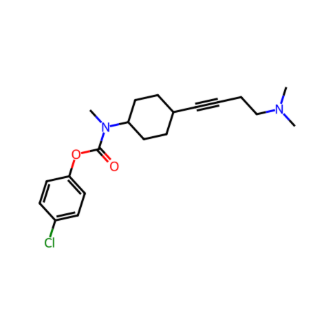 CN(C)CCC#CC1CCC(N(C)C(=O)Oc2ccc(Cl)cc2)CC1